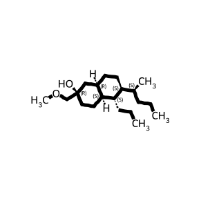 CCC[C@H]1[C@H]([C@@H](C)CCC)CC[C@@H]2C[C@@](O)(COC)CC[C@@H]21